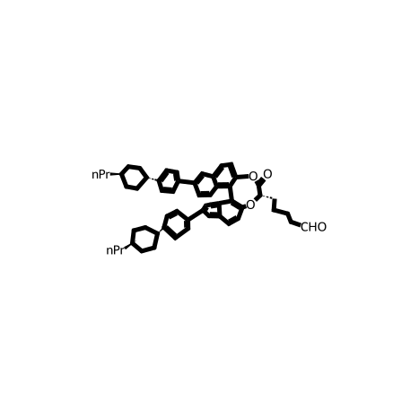 CCC[C@H]1CC[C@H](c2ccc(-c3ccc4c5c(ccc4c3)OC(=O)[C@H](CCCCC=O)Oc3ccc4cc(-c6ccc([C@H]7CC[C@H](CCC)CC7)cc6)ccc4c3-5)cc2)CC1